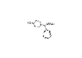 CCOC(=O)C(c1ccccc1)N1CCC(O)CC1